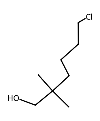 CC(C)(CO)CCCCCl